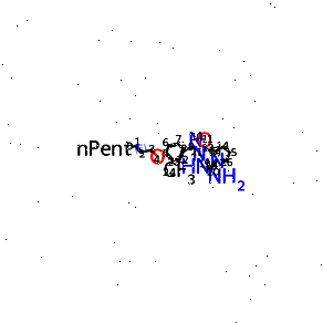 CCCCC/C=C/COc1ccc(-c2noc([C@@H]3CCCN3C(=N)N)n2)cc1C(F)(F)F